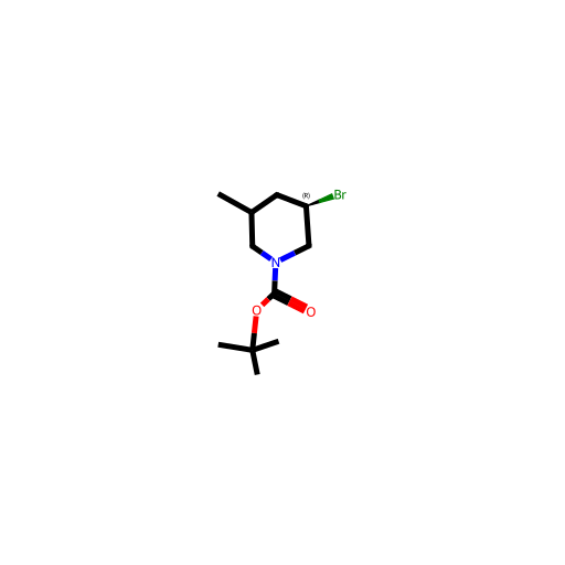 CC1C[C@@H](Br)CN(C(=O)OC(C)(C)C)C1